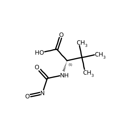 CC(C)(C)[C@H](NC(=O)N=O)C(=O)O